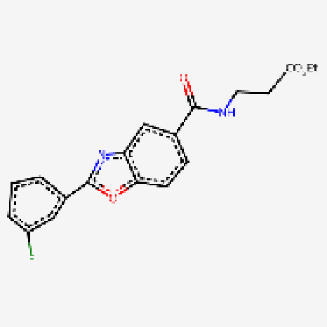 CCOC(=O)CCNC(=O)c1ccc2oc(-c3cccc(F)c3)nc2c1